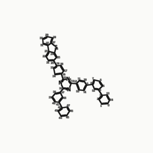 c1ccc(-c2cccc(-c3ccc(-c4nc(-c5ccc(-c6ccc7c(c6)sc6ccccc67)cc5)nc(-c5cccc(-c6ccccc6)c5)n4)cc3)c2)cc1